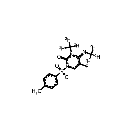 [2H]C([2H])([2H])N=c1c(F)cn(S(=O)(=O)c2ccc(C)cc2)c(=O)n1C([2H])([2H])[2H]